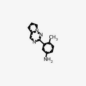 Cc1ccc(N)cc1-c1ncc2cccn2n1